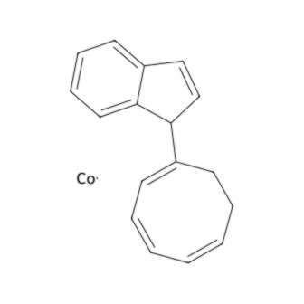 C1=CC=C(C2C=Cc3ccccc32)CCC=C1.[Co]